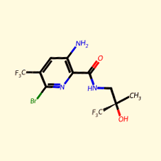 C[C@](O)(CNC(=O)c1nc(Br)c(C(F)(F)F)cc1N)C(F)(F)F